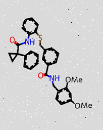 COc1ccc(CNC(=O)c2cccc(CSc3ccccc3NC(=O)C3(c4ccccc4)CC3)c2)c(OC)c1